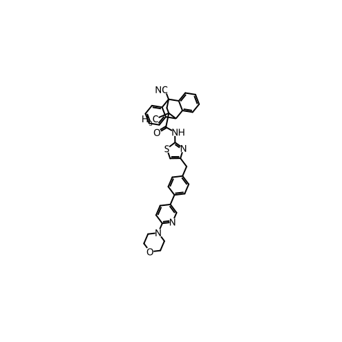 CC1(C(=O)Nc2nc(Cc3ccc(-c4ccc(N5CCOCC5)nc4)cc3)cs2)CC2(C#N)c3ccccc3C1c1ccccc12